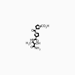 C[C@H](NC(=O)[C@@H]1CCN(C(=O)[C@@H]2CCN(C(=O)O)C2)C1)[C@@H](O)C(N)=O